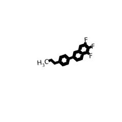 CCCc1ccc(-c2ccc3c(F)c(F)c(F)cc3c2)cc1